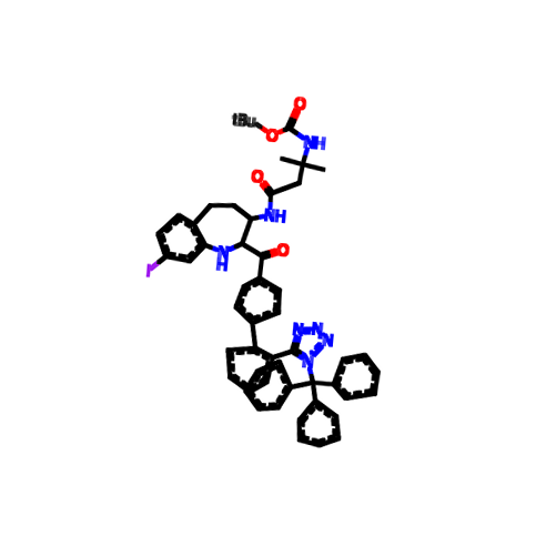 CC(C)(CC(=O)NC1CCc2ccc(I)cc2NC1C(=O)c1ccc(-c2ccccc2-c2nnnn2C(c2ccccc2)(c2ccccc2)c2ccccc2)cc1)NC(=O)OC(C)(C)C